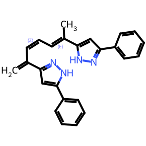 C=C(/C=C\C=C(/C)c1cc(-c2ccccc2)n[nH]1)c1cc(-c2ccccc2)[nH]n1